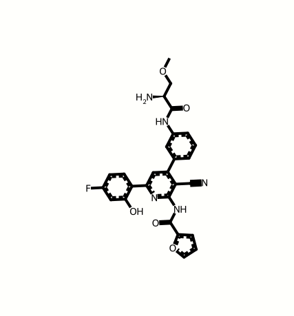 COC[C@H](N)C(=O)Nc1cccc(-c2cc(-c3ccc(F)cc3O)nc(NC(=O)c3ccco3)c2C#N)c1